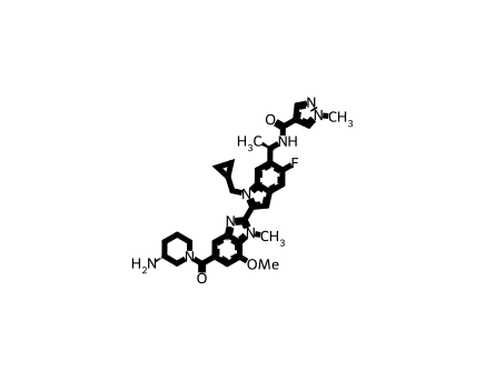 COc1cc(C(=O)N2CCC[C@@H](N)C2)cc2nc(-c3cc4cc(F)c([C@@H](C)NC(=O)c5cnn(C)c5)cc4n3CC3CC3)n(C)c12